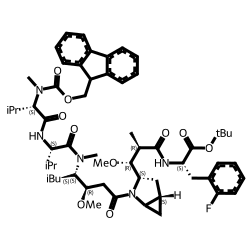 CC[C@H](C)[C@@H]([C@@H](CC(=O)N1C2C[C@H]2C[C@H]1[C@H](OC)[C@@H](C)C(=O)N[C@@H](Cc1ccccc1F)C(=O)OC(C)(C)C)OC)N(C)C(=O)[C@@H](NC(=O)[C@H](C(C)C)N(C)C(=O)OCC1c2ccccc2-c2ccccc21)C(C)C